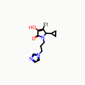 CCC1=C(O)C(=O)N(CCCn2ccnc2)C1C1CC1